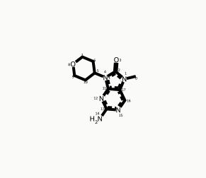 Cn1c(=O)n(C2CCOCC2)c2nc(N)ncc21